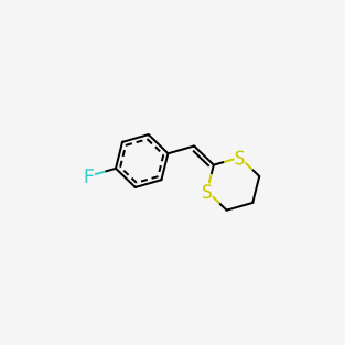 Fc1ccc(C=C2SCCCS2)cc1